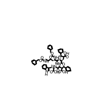 O=C(NCCCC[C@H](NC(=O)OCc1ccccc1)C(=O)N[C@@H](CC(Cc1ccccc1)C(=O)O)C(=O)N[C@H](C(=O)N[C@@H](Cc1c[nH]c2ccccc12)C(=O)O)C(Cc1ccccc1)C(=O)O)OCc1ccccc1